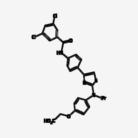 CC(C)N(c1ccc(OCC(=O)O)cc1)c1nc(-c2ccc(NC(=O)c3cc(Cl)cc(Cl)c3)cc2)cs1